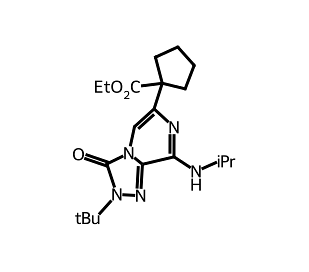 CCOC(=O)C1(c2cn3c(=O)n(C(C)(C)C)nc3c(NC(C)C)n2)CCCC1